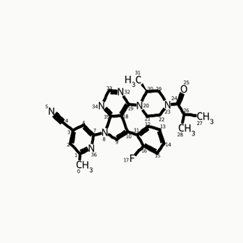 Cc1cc(C#N)cc(-n2cc(-c3ccccc3F)c3c(N4CCN(C(=O)C(C)C)C[C@@H]4C)ncnc32)n1